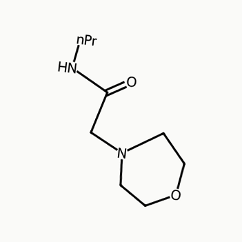 CCCNC(=O)CN1CCOCC1